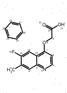 Cc1cc2nccc(OCC(=O)O)c2cc1F.c1ccccc1